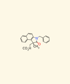 C[C@]1(CC(=O)O)C(=O)N(Cc2ccccc2)c2ccc3ccccc3c21